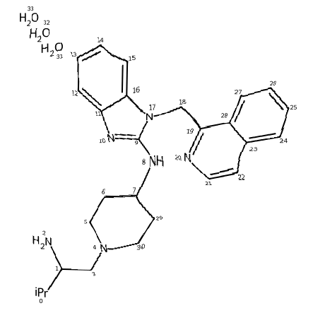 CC(C)C(N)CN1CCC(Nc2nc3ccccc3n2Cc2nccc3ccccc23)CC1.O.O.O